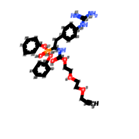 C#CCOCCOCCOC(=O)NC(Cc1ccc(NC(=N)N)cc1)P(=O)(Oc1ccccc1)Oc1ccccc1